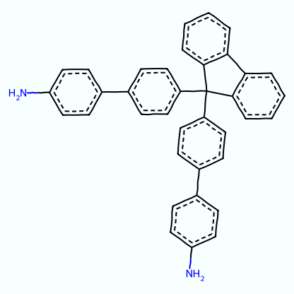 Nc1ccc(-c2ccc(C3(c4ccc(-c5ccc(N)cc5)cc4)c4ccccc4-c4ccccc43)cc2)cc1